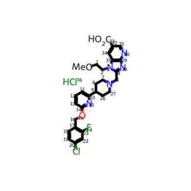 COCCn1c(CN2CCC(c3cccc(OCc4ccc(Cl)cc4F)n3)CC2)nc2ncc(C(=O)O)cc21.Cl